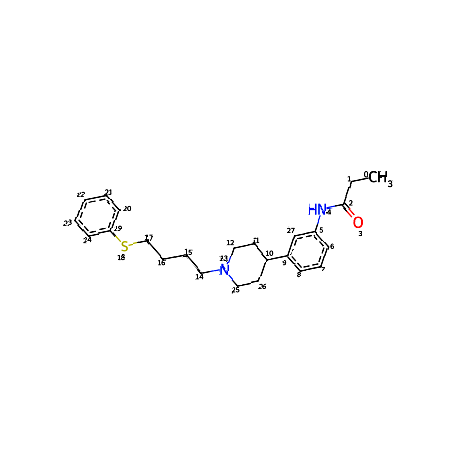 CCC(=O)Nc1cccc(C2CCN(CCCCSc3ccccc3)CC2)c1